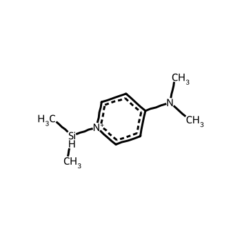 CN(C)c1cc[n+]([SiH](C)C)cc1